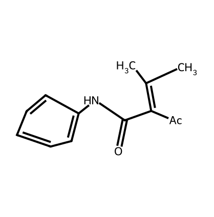 CC(=O)C(C(=O)Nc1ccccc1)=C(C)C